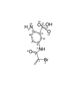 C=C(Br)C(=O)Nc1ccc(N)c(S(=O)(=O)O)c1